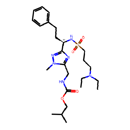 CCN(CC)CCCS(=O)(=O)N[C@H](CCc1ccccc1)c1nc(CNC(=O)OCC(C)C)n(C)n1